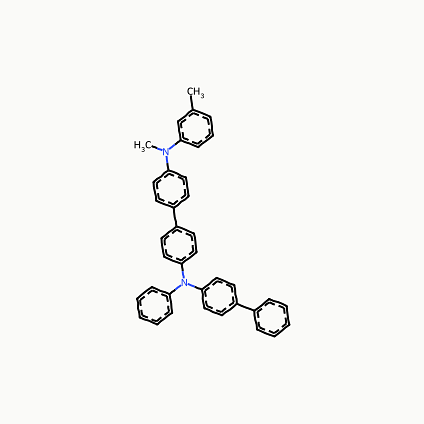 Cc1cccc(N(C)c2ccc(-c3ccc(N(c4ccccc4)c4ccc(-c5ccccc5)cc4)cc3)cc2)c1